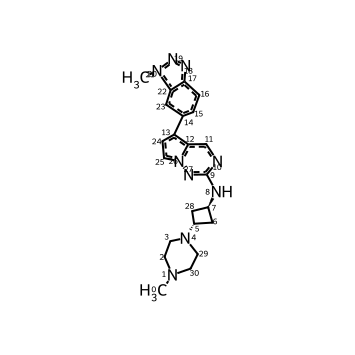 CN1CCN([C@H]2C[C@H](Nc3ncc4c(-c5ccc6nnn(C)c6c5)ccn4n3)C2)CC1